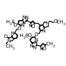 CCN1Cc2ccc(COc3nn4c(-c5cc(Cc6cc(COc7nn8c(-c9cc(C)on9)nnc8cc7OC)nc7c6CN(CCOC)C7)on5)nnc4cc3OC)nc2C1=O